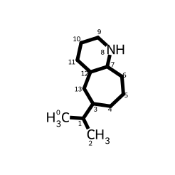 CC(C)C1CCCC2NCCCC2C1